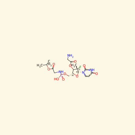 CC(C)OC(=O)CNP(=O)(O)OC[C@H]1O[C@@H](n2ccc(=O)[nH]c2=O)[C@@](C)(F)C1OC(=O)CN